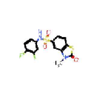 Cn1c(=O)sc2ccc(S(=O)(=O)Nc3ccc(F)c(F)c3)cc21